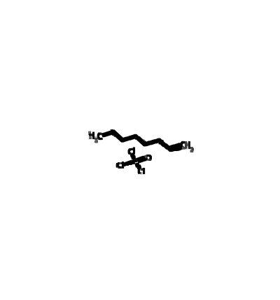 C=CCCCCCC.O=P(Cl)(Cl)Cl